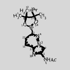 CC(=O)Nc1cn2nc(B3OC(C)(C)C(C)(C(C)C)O3)ccc2n1